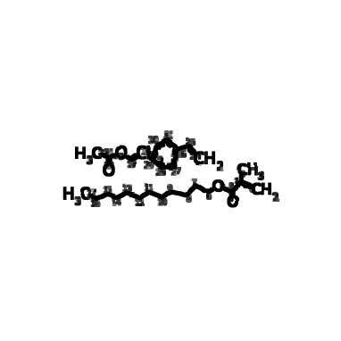 C=C(C)C(=O)OCCCCCCCCCCCC.C=COC(C)=O.C=Cc1ccccc1